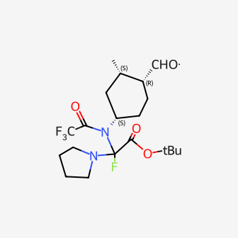 C[C@H]1C[C@@H](N(C(=O)C(F)(F)F)C(F)(C(=O)OC(C)(C)C)N2CCCC2)CC[C@H]1[C]=O